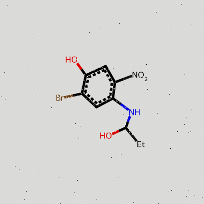 CCC(O)Nc1cc(Br)c(O)cc1[N+](=O)[O-]